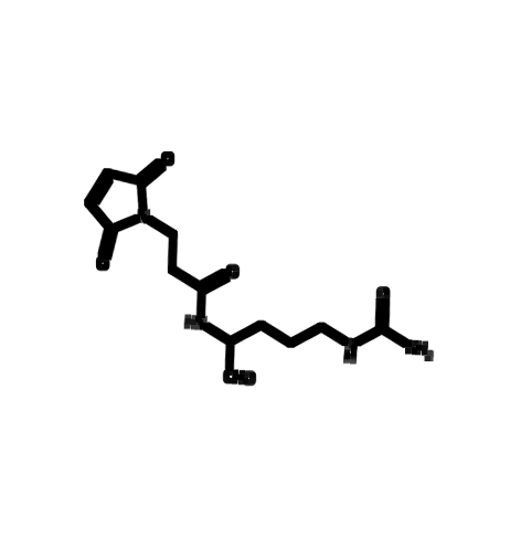 NC(=O)NCCCC(C=O)NC(=O)CCN1C(=O)C=CC1=O